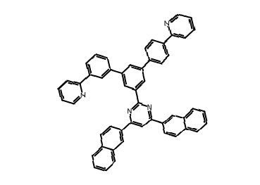 c1ccc(-c2ccc(-c3cc(-c4cccc(-c5ccccn5)c4)cc(-c4nc(-c5ccc6ccccc6c5)cc(-c5ccc6ccccc6c5)n4)c3)cc2)nc1